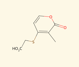 Cc1c(SCC(=O)O)ccoc1=O